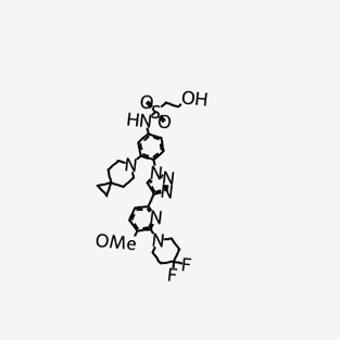 COc1ccc(-c2cn(-c3ccc(NS(=O)(=O)CCO)cc3N3CCC4(CC3)CC4)nn2)nc1N1CCC(F)(F)CC1